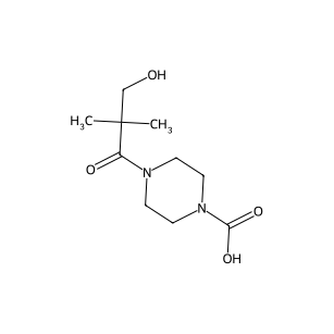 CC(C)(CO)C(=O)N1CCN(C(=O)O)CC1